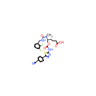 CN(C(=O)NCc1cccc(F)c1F)[C@@H](CCCC(=O)O)COC(=O)Nc1nnc(-c2ccc(C#N)cc2)s1